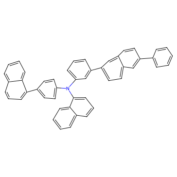 c1ccc(-c2ccc3cc(-c4cccc(N(c5ccc(-c6cccc7ccccc67)cc5)c5cccc6ccccc56)c4)ccc3c2)cc1